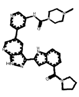 CN1CCN(C(=O)Nc2cncc(-c3cnc4[nH]nc(-c5cc6c(C(=O)N7CCCC7)cccc6[nH]5)c4c3)c2)CC1